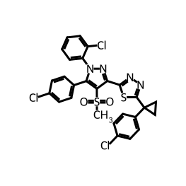 CS(=O)(=O)c1c(-c2nnc(C3(c4ccc(Cl)cc4)CC3)s2)nn(-c2ccccc2Cl)c1-c1ccc(Cl)cc1